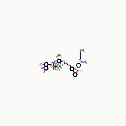 CCCCCCN(C)[C@H]1CC[C@H](N(C(=O)O)c2cc(CCCC(=O)Nc3cc(OC)c(CNC[C@H](O[Si](C)(C)C(C)(C)C)c4ccc(O)c5[nH]c(=O)ccc45)cc3Cl)ccc2-c2ccccc2)CC1